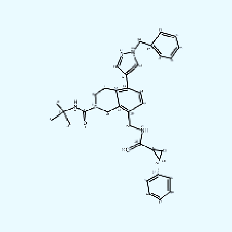 CC(C)(C)NC(=O)N1CCc2c(-c3cnn(Cc4ccccc4)c3)ccc(CNC(=O)C3C[C@@H]3c3ccccc3)c2C1